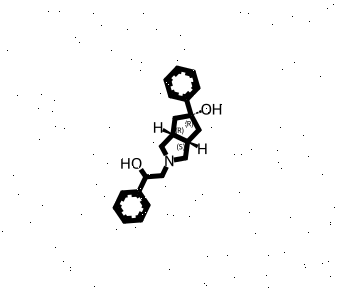 OC(CN1C[C@@H]2C[C@@](O)(c3ccccc3)C[C@@H]2C1)c1ccccc1